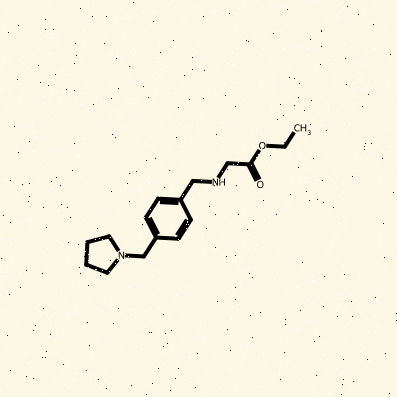 CCOC(=O)CNCc1ccc(CN2CCCC2)cc1